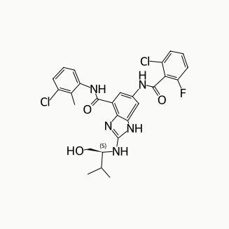 Cc1c(Cl)cccc1NC(=O)c1cc(NC(=O)c2c(F)cccc2Cl)cc2[nH]c(N[C@H](CO)C(C)C)nc12